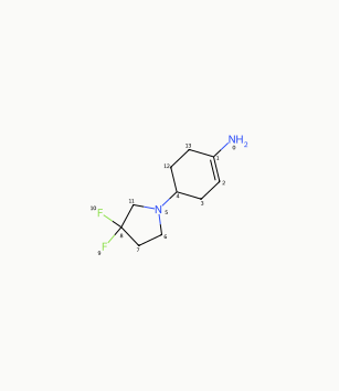 NC1=CCC(N2CCC(F)(F)C2)CC1